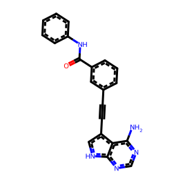 Nc1ncnc2[nH]cc(C#Cc3cccc(C(=O)Nc4ccccc4)c3)c12